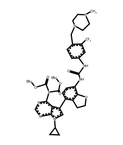 CN1CCN(Cc2ccc(NC(=O)Nc3ccc(-c4cn(C5CC5)c5ncnc(N(C(=O)OC(C)(C)C)C(=O)OC(C)(C)C)c45)c4c3OCC4)cc2C(F)(F)F)CC1